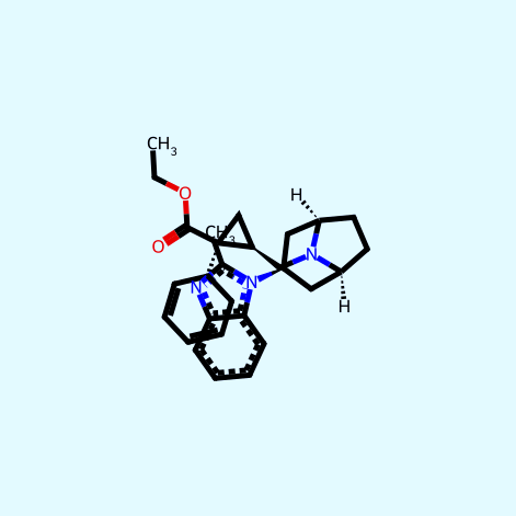 CCOC(=O)[C@@]1(C2C=CC=CC2)C[C@H]1CN1[C@@H]2CC[C@H]1C[C@@H](n1c(C)nc3ccccc31)C2